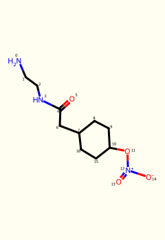 NCCNC(=O)CC1CCC(O[N+](=O)[O-])CC1